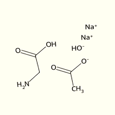 CC(=O)[O-].NCC(=O)O.[Na+].[Na+].[OH-]